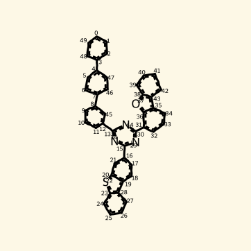 c1ccc(-c2ccc(-c3cccc(-c4nc(-c5ccc6c(c5)sc5ccccc56)nc(-c5cccc6c5oc5ccccc56)n4)c3)cc2)cc1